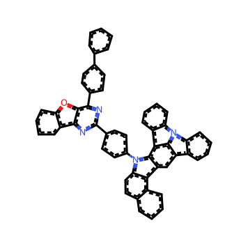 c1ccc(-c2ccc(-c3nc(-c4ccc(-n5c6ccc7ccccc7c6c6cc7c8ccccc8n8c9ccccc9c(c65)c78)cc4)nc4c3oc3ccccc34)cc2)cc1